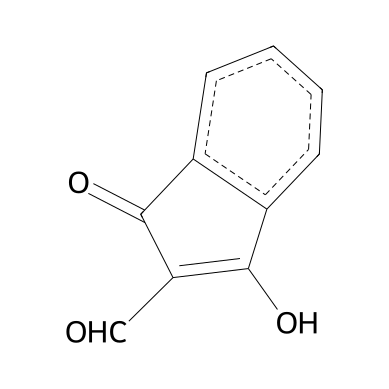 O=CC1=C(O)c2ccccc2C1=O